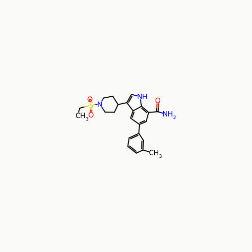 CCS(=O)(=O)N1CCC(c2c[nH]c3c(C(N)=O)cc(-c4cccc(C)c4)cc23)CC1